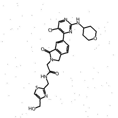 O=C(CN1Cc2ccc(-c3nc(NC4CCOCC4)ncc3Cl)cc2C1=O)NCc1nc(CO)cs1